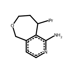 CC(C)C1CCOCc2ccnc(N)c21